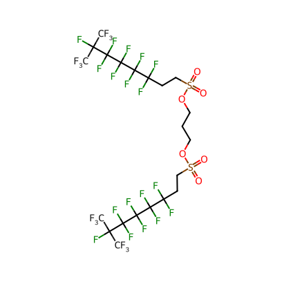 O=S(=O)(CCC(F)(F)C(F)(F)C(F)(F)C(F)(F)C(F)(C(F)(F)F)C(F)(F)F)OCCCOS(=O)(=O)CCC(F)(F)C(F)(F)C(F)(F)C(F)(F)C(F)(C(F)(F)F)C(F)(F)F